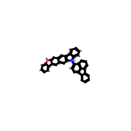 c1ccc2c(c1)-c1cccc3c(-n4c5ccccc5c5cc6cc7oc8ccccc8c7cc6cc54)ccc-2c13